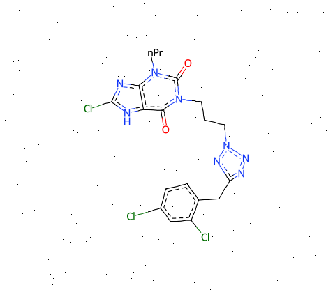 CCCn1c(=O)n(CCCn2nnc(Cc3ccc(Cl)cc3Cl)n2)c(=O)c2[nH]c(Cl)nc21